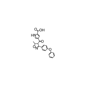 CC1ON=C(c2ccc(Oc3ccccc3)cc2)C1C(=O)c1c[nH]c(C(=O)O)c1